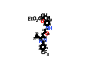 CCOC(=O)C(C)(C)Oc1cccc(NCC(=O)Cc2cnc(-c3ccc(C(F)(F)F)cc3)nc2C2CC2)c1